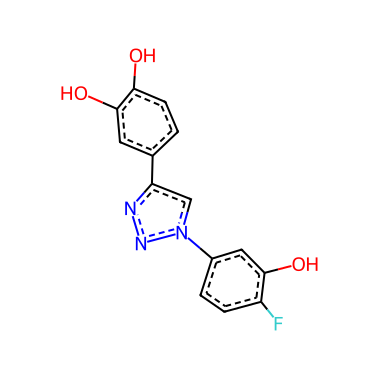 Oc1ccc(-c2cn(-c3ccc(F)c(O)c3)nn2)cc1O